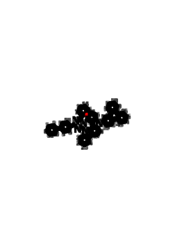 c1ccc(-c2ccc(-c3nc(-c4ccccc4)nc(-n4c5ccccc5c5ccc6c(c7ccccc7n6-c6ccc7c8ccccc8c8ccccc8c7c6)c54)n3)cc2)cc1